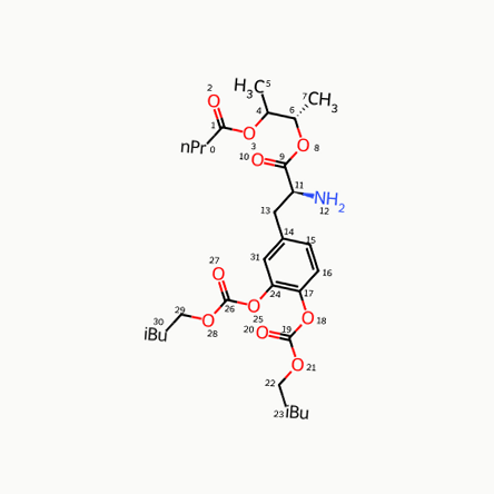 CCCC(=O)OC(C)[C@H](C)OC(=O)[C@@H](N)Cc1ccc(OC(=O)OCC(C)CC)c(OC(=O)OCC(C)CC)c1